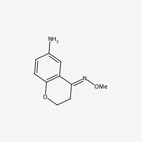 CON=C1CCOc2ccc(N)cc21